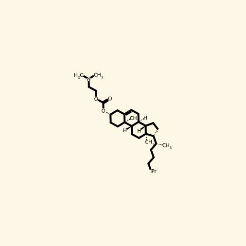 CC(C)CCC[C@@H](C)[C@H]1CC[C@H]2[C@@H]3CC=C4C[C@@H](OC(=O)OCCN(C)C)CC[C@]4(C)[C@H]3CC[C@]12C